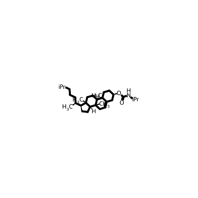 CC(C)CCC[C@H](C)[C@@H]1CC[C@@H]2[C@@]3(C)CC=C4C[C@H](OC(=O)NC(C)C)CC[C@@]4(C)[C@@H]3CC[C@]21C